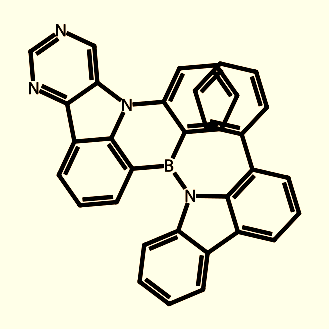 c1ccc(-c2cccc3c4ccccc4n(B4c5ccccc5-n5c6cncnc6c6cccc4c65)c23)cc1